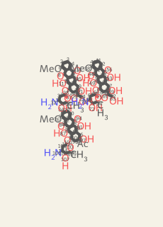 COc1cccc2c1C(=O)c1c(O)c3c(c(O)c1C2=O)C[C@@](O)(C(=O)CO)C[C@@H]3O[C@H]1C[C@H](N)[C@@H](O)[C@H](C)O1.COc1cccc2c1C(=O)c1c(O)c3c(c(O)c1C2=O)C[C@@](O)(C(=O)CO)C[C@@H]3O[C@H]1C[C@H](N)[C@H](O)[C@H](C)O1.COc1cccc2c1C(=O)c1c(O)c3c(c(O)c1C2=O)C[C@@](O)(C(C)=O)C[C@@H]3O[C@H]1C[C@H](N)[C@H](O)[C@H](C)O1